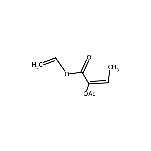 C=COC(=O)C(=CC)OC(C)=O